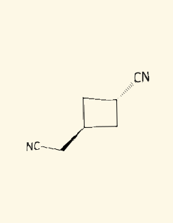 N#CC[C@H]1C[C@H](C#N)C1